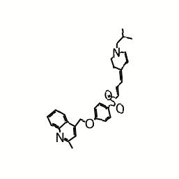 Cc1cc(COc2ccc(S(=O)(=O)C=CC=C3CCN(CC(C)C)CC3)cc2)c2ccccc2n1